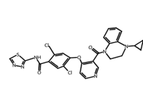 O=C(Nc1nncs1)c1cc(Cl)c(Oc2ccncc2C(=O)N2CCN(C3CC3)c3ccccc32)cc1Cl